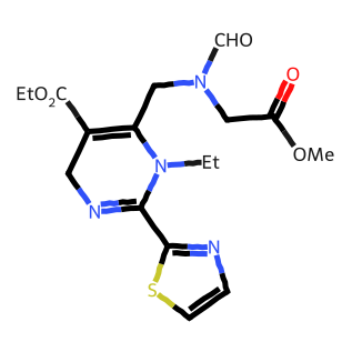 CCOC(=O)C1=C(CN(C=O)CC(=O)OC)N(CC)C(c2nccs2)=NC1